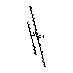 CCCCCCCCCCC(CO)CCCCCCCC.CCCCCCCCCCCCCCCCCC(O)CCCCCCCCCCCCCCCC